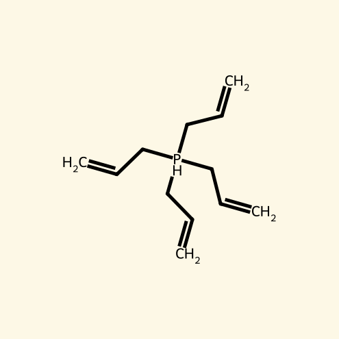 C=CC[PH](CC=C)(CC=C)CC=C